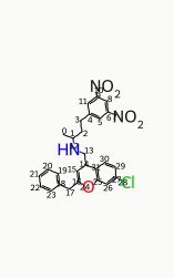 CC(CCc1cc([N+](=O)[O-])cc([N+](=O)[O-])c1)NCC1C=C(Cc2ccccc2)Oc2cc(Cl)ccc21